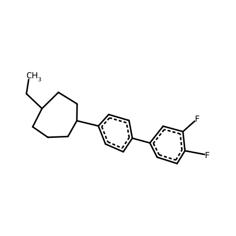 CCC1CCCC(c2ccc(-c3ccc(F)c(F)c3)cc2)CC1